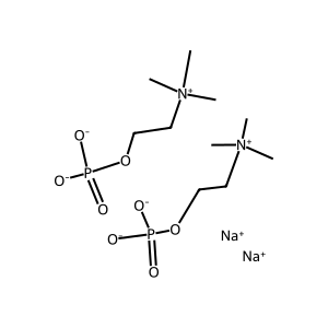 C[N+](C)(C)CCOP(=O)([O-])[O-].C[N+](C)(C)CCOP(=O)([O-])[O-].[Na+].[Na+]